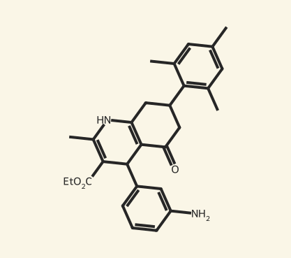 CCOC(=O)C1=C(C)NC2=C(C(=O)CC(c3c(C)cc(C)cc3C)C2)C1c1cccc(N)c1